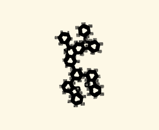 c1ccc(-c2nc3ccc(-c4cc(-c5cccc6c5oc5ccccc56)cc(-c5cccc6c5oc5ccccc56)c4)cc3c3cc4c5ccccc5n(-c5ccccc5)c4cc23)cc1